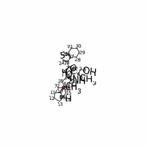 CC(C)(CO)NC(=O)CCC1C2CC[C@@H]1C[C@](C)(CCCC(=O)c1csc3c1CCCC3)C2